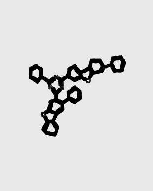 c1ccc(-c2ccc3c(c2)oc2cc(-c4nc(-c5ccccc5)nc(-c5cc6oc7ccccc7c6cc5-c5ccccc5)n4)ccc23)cc1